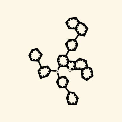 c1ccc(-c2ccc(N(c3cccc(-c4ccccc4)c3)c3ccc(-c4ccc(-c5cccc6ccccc56)cc4)c4c3oc3c5ccccc5ccc34)cc2)cc1